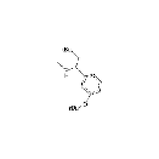 CPC(CC(C)(C)C)c1cccc(OC(C)(C)C)c1